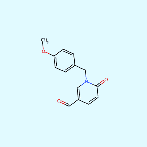 COc1ccc(Cn2cc(C=O)ccc2=O)cc1